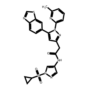 Cc1cccc(-n2nc(CC(=O)Nc3cnn(S(=O)(=O)C4CC4)c3)cc2-c2ccc3ncsc3c2)n1